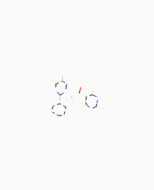 Cc1cnc(-c2cc(F)ccc2[C@H]2Cc3nc(N)nc(C)c3C(=O)N2)nc1C